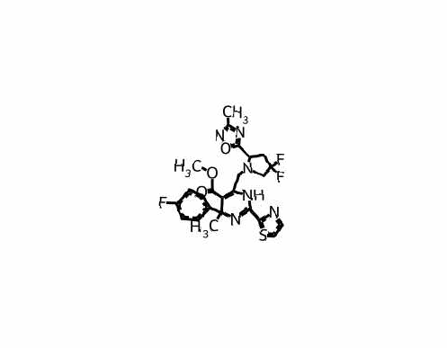 COC(=O)C1=C(CN2CC(F)(F)CC2c2nc(C)no2)NC(c2nccs2)=NC1(C)c1ccc(F)cc1